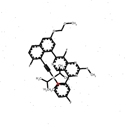 COCOc1cc(-c2ncc3c(-c4cccc(F)c4)nc(SC)nc3c2F)c2c(C#C[Si](C(C)C)(C(C)C)C(C)C)c(F)ccc2c1